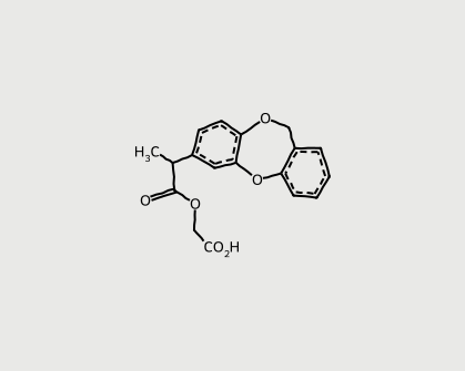 CC(C(=O)OCC(=O)O)c1ccc2c(c1)Oc1ccccc1CO2